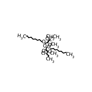 CCCCCCCCCOC(OC(OCCCCCCCCC)C(OC)=C(CCC)OC)C(OC)=C(CCC)OC